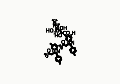 C[SiH](C)O[SiH](C)C.Cc1ccc(-c2nc3ccc(C)cn3c2CC(=O)N(C)C)cc1.Cc1ccc(-c2nc3ccc(C)cn3c2CC(=O)N(C)C)cc1.O=C(O)C(O)C(O)C(=O)O